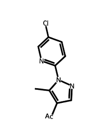 CC(=O)c1cnn(-c2ccc(Cl)cn2)c1C